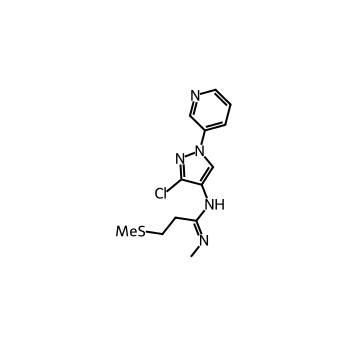 C/N=C(\CCSC)Nc1cn(-c2cccnc2)nc1Cl